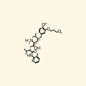 COCCCOc1cc(C[C@@H](C[C@H](N)[C@@H](O)C[C@H](C(=O)Nc2ncccc2C)C(C)C)C(C)C)ccc1OC